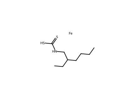 CCCCC(CC)CNC(=S)S.[Fe]